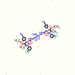 CCOC(=O)C1=C(C)N(c2cccc(C(F)(F)F)c2)C(=O)N(CC(=O)NCCNC(=N)NCCNC(=O)CN2C(=O)N(c3cccc(C(F)(F)F)c3)C(C)=C(C(=O)OCC)[C@H]2c2ccc(C#N)cc2)[C@@H]1c1ccc(C#N)cc1